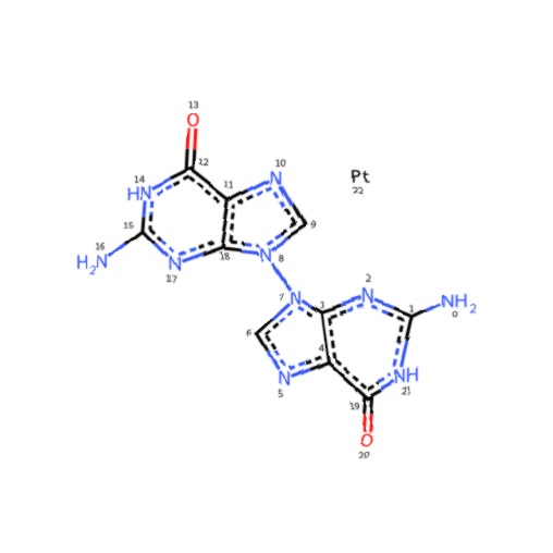 Nc1nc2c(ncn2-n2cnc3c(=O)[nH]c(N)nc32)c(=O)[nH]1.[Pt]